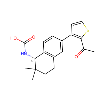 CC(=O)c1sccc1-c1ccc2c(c1)CCC(C)(C)[C@@H]2NC(=O)O